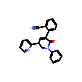 N#Cc1ccccc1C1=CC(c2ccccn2)CN(c2ccccc2)C1=O